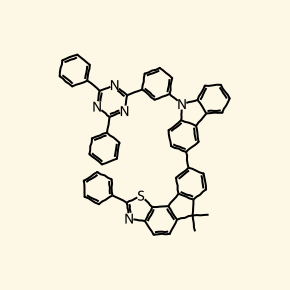 CC1(C)c2ccc(-c3ccc4c(c3)c3ccccc3n4-c3cccc(-c4nc(-c5ccccc5)nc(-c5ccccc5)n4)c3)cc2-c2c1ccc1nc(-c3ccccc3)sc21